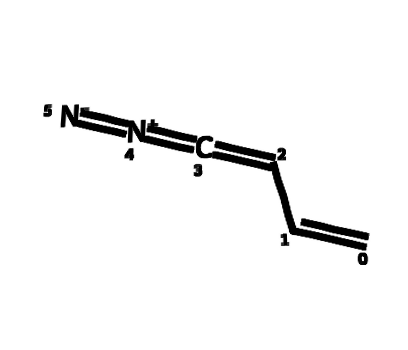 C=CC=C=[N+]=[N-]